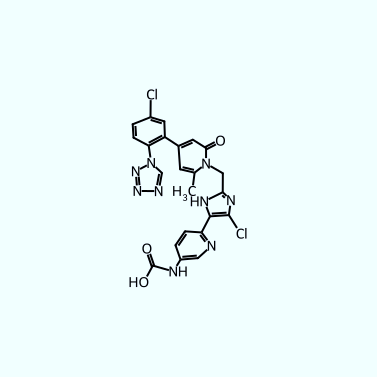 Cc1cc(-c2cc(Cl)ccc2-n2cnnn2)cc(=O)n1Cc1nc(Cl)c(-c2ccc(NC(=O)O)cn2)[nH]1